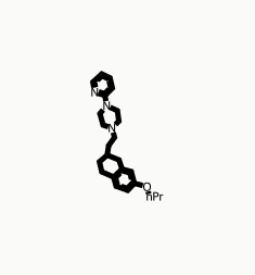 CCCOc1ccc2c(c1)CC(CCN1CCN(c3ccccn3)CC1)CC2